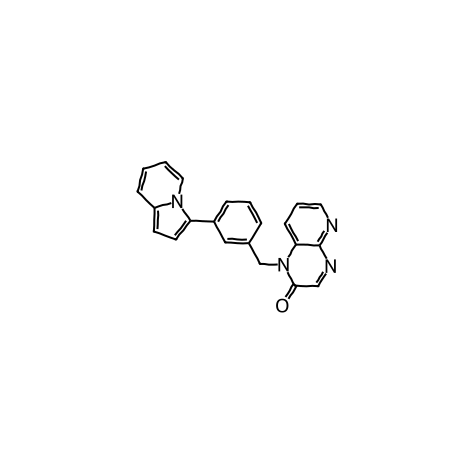 O=c1cnc2ncccc2n1Cc1cccc(-c2ccc3ccccn23)c1